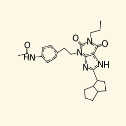 CCCn1c(=O)c2[nH]c(C3CCC4CCCC43)nc2n(CCc2ccc(NC(C)=O)cc2)c1=O